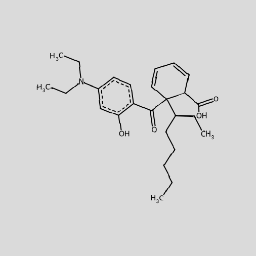 CCCCCC(CC)C1(C(=O)c2ccc(N(CC)CC)cc2O)C=CC=CC1C(=O)O